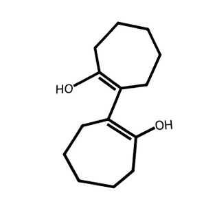 OC1=C(C2=C(O)CCCCC2)CCCCC1